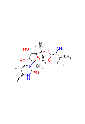 BC(B)(OC(=O)[C@@H](N)C(C)C)[C@@]1(F)O[C@@](B)(N2C=C(F)C(=C)NC2=O)[C@H](O)[C@@H]1O